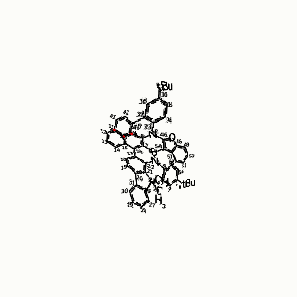 CC(C)(C)c1ccc(N2B3c4c(cc5ccccc5c4-c4ccc5c(c42)C(C)(C)c2ccccc2-5)N(c2ccc(C(C)(C)C)cc2-c2ccccc2)c2oc4ccccc4c23)cc1